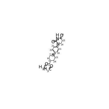 COC(OC)C1CCN(c2ccc(N3CCC(=O)NC3=O)cc2)CC1